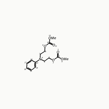 COC(=O)OCCN(CCOC(=O)OC)c1ccccc1